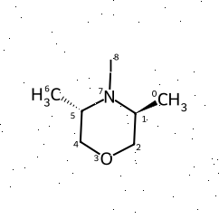 C[C@H]1COC[C@H](C)N1I